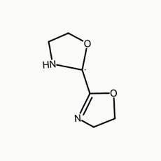 C1COC([C]2NCCO2)=N1